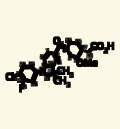 CO[C@H]1CN(C(=O)c2ccc3c(n2)C(C)(C)CN3c2ccc(Cl)c(F)c2)CC[C@@H]1CC(=O)O